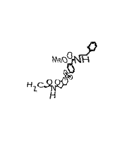 C=CC(=O)NC1CC2CCN(S(=O)(=O)c3ccc(C(=O)NCCc4ccccc4)c(OC)c3)CC2O1